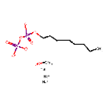 CCCCCCCCOP(=O)([O-])OP(=O)([O-])[O-].CO.[Na+].[Na+].[Na+]